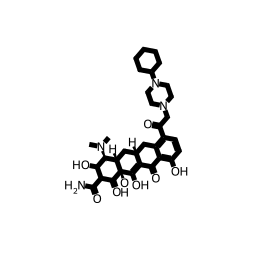 CN(C)[C@@H]1C(O)C(C(N)=O)C(=O)[C@@]2(O)C(O)=C3C(=O)c4c(O)ccc(C(=O)CN5CCN(C6CCCCC6)CC5)c4C[C@H]3C[C@@H]12